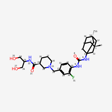 C[C@]12CC3CC(NC(=O)Nc4ccc(CN5CCC[C@H](C(=O)NC(CO)CO)C5)cc4F)(C1)C[C@@](C)(C3)C2